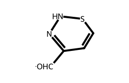 O=[C]C1=NNSC=C1